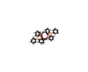 c1ccc(P(c2ccccc2)c2cccc3c2OC2CCC[C@@H](C3)Oc3c(cccc3P(c3ccccc3)c3ccccc3)C2)cc1